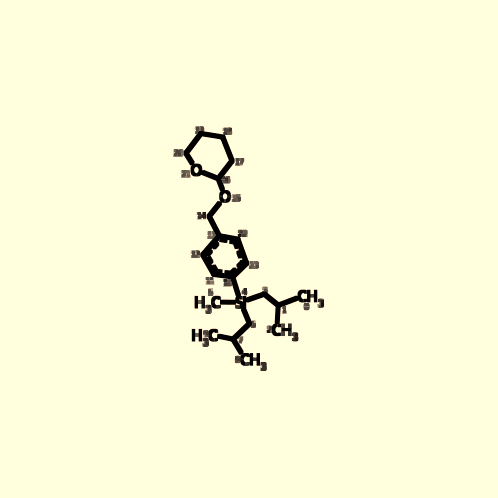 CC(C)C[Si](C)(CC(C)C)c1ccc(COC2CCCCO2)cc1